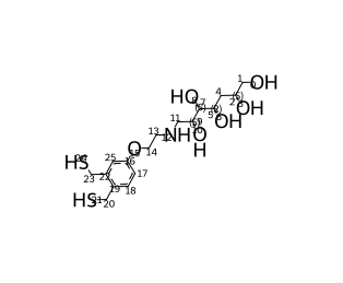 OC[C@@H](O)C[C@@H](O)[C@H](O)[C@@H](O)CNCCOc1ccc(CS)c(CS)c1